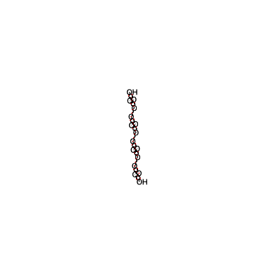 O=S(=O)(c1ccc(O)cc1)c1ccc(OC/C=C/COc2ccc(S(=O)(=O)c3ccc(OC/C=C/COc4ccc(S(=O)(=O)c5ccc(OC/C=C/COc6ccc(S(=O)(=O)c7ccc(O)cc7)cc6)cc5)cc4)cc3)cc2)cc1